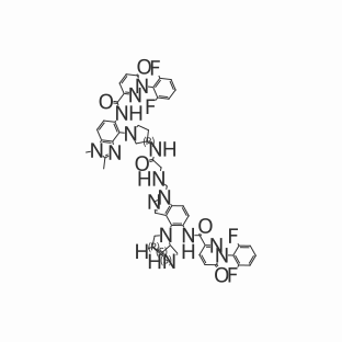 Cc1nc2c(N3CC[C@@H](NC(=O)CNCn4ncc5c(N6C[C@@H]7[C@H]8C6C[N@]78)c(NC(=O)c6ccc(=O)n(-c7c(F)cccc7F)n6)ccc54)C3)c(NC(=O)c3ccc(=O)n(-c4c(F)cccc4F)n3)ccc2n1C